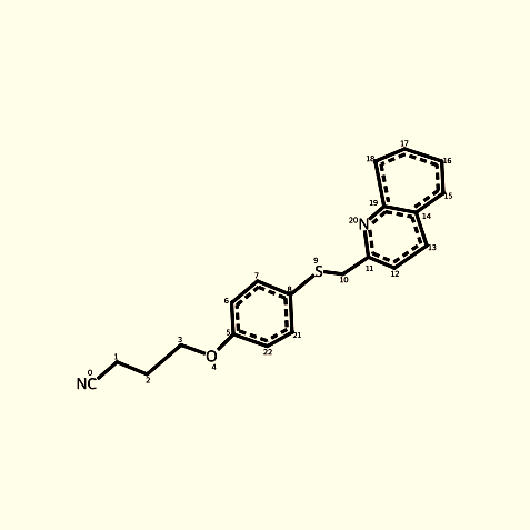 N#CCCCOc1ccc(SCc2ccc3ccccc3n2)cc1